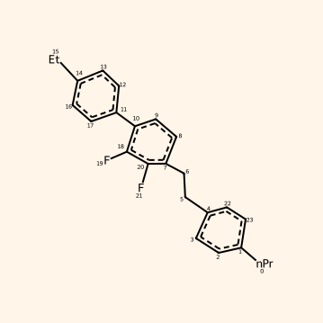 CCCc1ccc(CCc2ccc(-c3ccc(CC)cc3)c(F)c2F)cc1